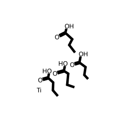 CCCC(=O)O.CCCC(=O)O.CCCC(=O)O.CCCC(=O)O.[Ti]